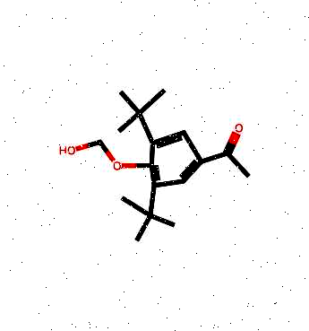 CC(=O)c1cc(C(C)(C)C)c(OCO)c(C(C)(C)C)c1